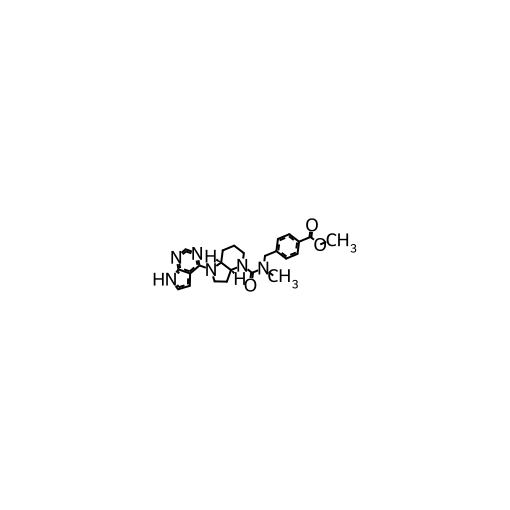 COC(=O)c1ccc(CN(C)C(=O)N2CCC[C@@H]3[C@H]2CCN3c2ncnc3[nH]ccc23)cc1